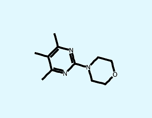 Cc1nc(N2CCOCC2)nc(C)c1C